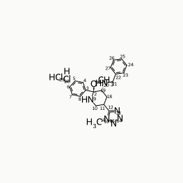 CO[C@]1(c2ccccc2)NCC(c2nnnn2C)C[C@H]1NCc1ccccc1.Cl.Cl